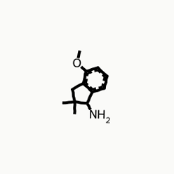 COc1cccc2c1CC(C)(C)C2N